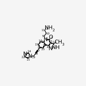 Cc1[nH]nc2c1c(=O)n(CCCN)c1ccc(C#CCn3ccnc3)cc21